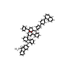 CC1(C)c2ccccc2-c2ccc(-n3c4ccccc4c4c(-c5cccc(-c6ccccc6N(c6ccc(-c7ccccc7)cc6)c6ccc(-c7ccc(-c8cccc9ccccc89)cc7)cc6)c5)cccc43)cc21